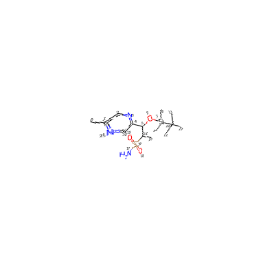 Cc1cnc(C(O[Si](C)(C)C(C)(C)C)C(C)S(N)(=O)=O)cn1